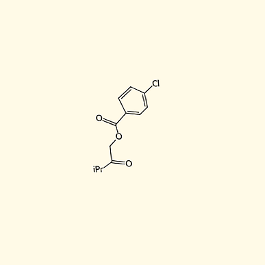 CC(C)C(=O)COC(=O)c1ccc(Cl)cc1